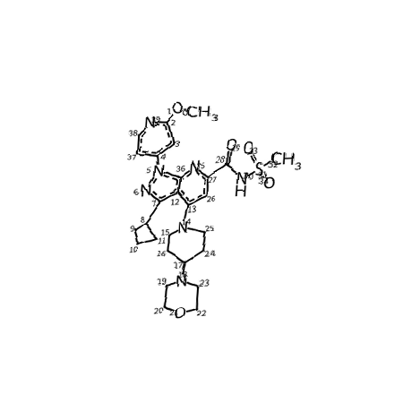 COc1cc(-n2nc(C3CCC3)c3c(N4CCC(N5CCOCC5)CC4)cc(C(=O)NS(C)(=O)=O)nc32)ccn1